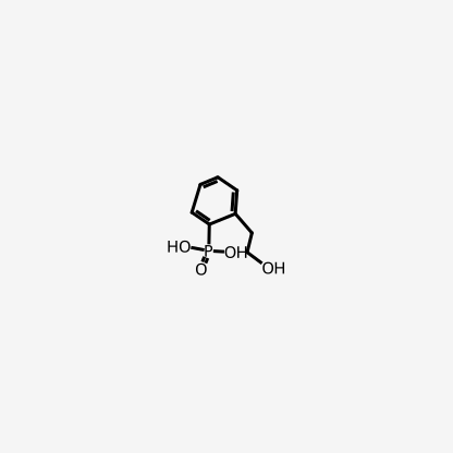 O=P(O)(O)c1ccccc1CCO